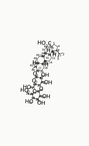 C=C(C)[C@@H]1CC[C@]2(C(=O)O)CC[C@]3(C)[C@H](CC[C@@H]4[C@@]5(C)CC[C@H](O[C@@H]6O[C@H](CO)[C@@H](O[C@H]7O[C@H](CO)[C@@H](O)[C@H](O)[C@H]7O)[C@H](O)[C@H]6O)C(C)(C)[C@@H]5CC[C@]43C)[C@@H]12